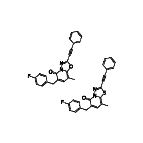 Cc1cc(Cc2ccc(F)cc2)c(=O)n2nc(C#Cc3ccccc3)oc12.Cc1cc(Cc2ccc(F)cc2)c(=O)n2nc(C#Cc3ccccc3)sc12